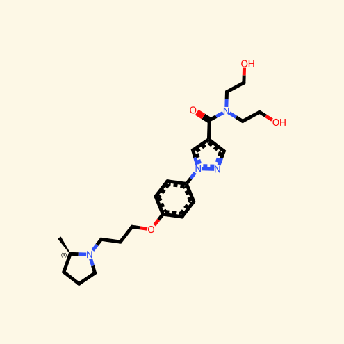 C[C@@H]1CCCN1CCCOc1ccc(-n2cc(C(=O)N(CCO)CCO)cn2)cc1